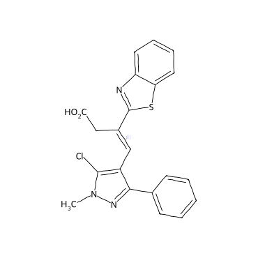 Cn1nc(-c2ccccc2)c(/C=C(\CC(=O)O)c2nc3ccccc3s2)c1Cl